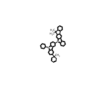 CC1(c2ccc3c(c2)c2cc(-n4c5ccccc5c5cc6c(cc54)C(C)(C)c4ccccc4-6)ccc2n3-c2ccccc2)C=CC=CC1